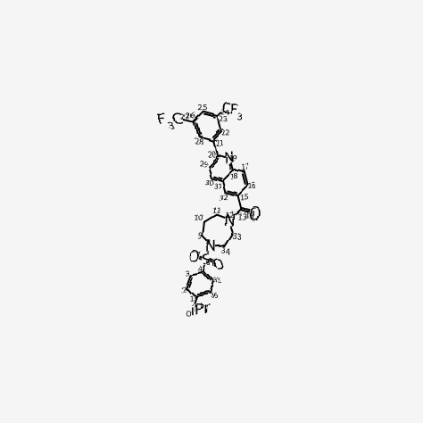 CC(C)c1ccc(S(=O)(=O)N2CCCN(C(=O)c3ccc4nc(-c5cc(C(F)(F)F)cc(C(F)(F)F)c5)ccc4c3)CC2)cc1